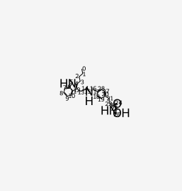 CCCCc1[nH]c2ccccc2c1CCNCc1ccc(CCC(=O)NO)cc1